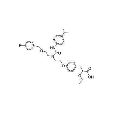 CCOC(Cc1ccc(OCCN(CCOCc2ccc(F)cc2)C(=O)Nc2ccc(C(C)C)cc2)cc1)C(=O)O